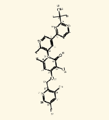 Cc1ncc(-c2ccnc(C(C)(C)O)n2)cc1-n1c(C)cc(OCc2ncc(F)cc2F)c(Cl)c1=O